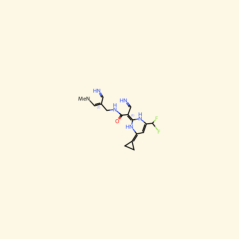 CN/C=C(\C=N)CNC(=O)/C(C=N)=C1/NC(C(F)F)=CC(=C2CC2)N1